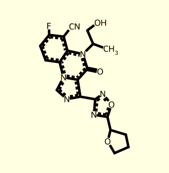 CC(CO)n1c(=O)c2c(-c3noc(C4CCCO4)n3)ncn2c2ccc(F)c(C#N)c21